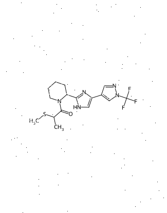 CSC(C)C(=O)N1CCCCC1c1nc(-c2cnn(C(F)(F)F)c2)c[nH]1